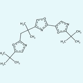 CC(C)(C)c1cnc(CC(C)(C)c2coc(-c3cnc(C(C)(C)C)o3)n2)o1